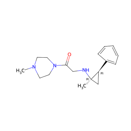 CN1CCN(C(=O)CN[C@]2(C)C[C@@H]2c2ccccc2)CC1